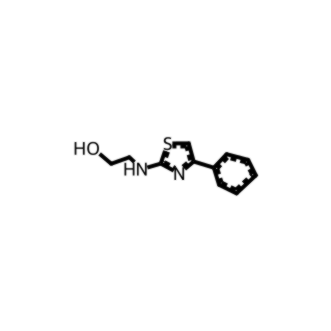 OCCNc1nc(-c2ccccc2)cs1